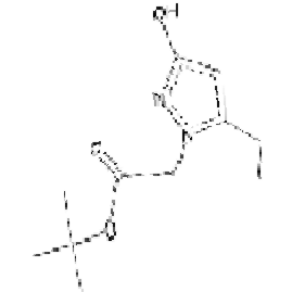 CCc1cc(O)nn1CC(=O)OC(C)(C)C